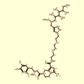 CCCCCCN(Cc1cn(CCOCCOCCNC(=O)c2nc(C(F)(F)F)n3c2CN(C(=O)C[C@H](N)Cc2cc(F)c(F)cc2F)CC3)nn1)CC(O)C(O)C(O)C(O)CO